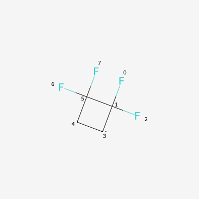 FC1(F)[CH]CC1(F)F